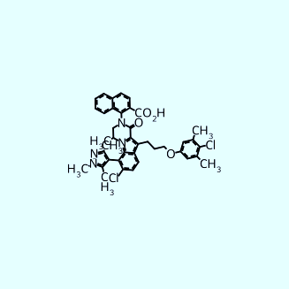 Cc1cc(OCCCc2c3n(c4c(-c5c(C)nn(C)c5C)c(Cl)ccc24)C(C)CN(c2c(C(=O)O)ccc4ccccc24)C3=O)cc(C)c1Cl